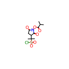 CC(C)C(=O)ON1C(=O)CC(C(C)(C)S(=O)(=O)Cl)C1=O